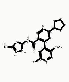 COc1cnc(Cl)cc1-c1cc(C2CCCC2)ncc1C(=O)Nc1nnc(O)s1